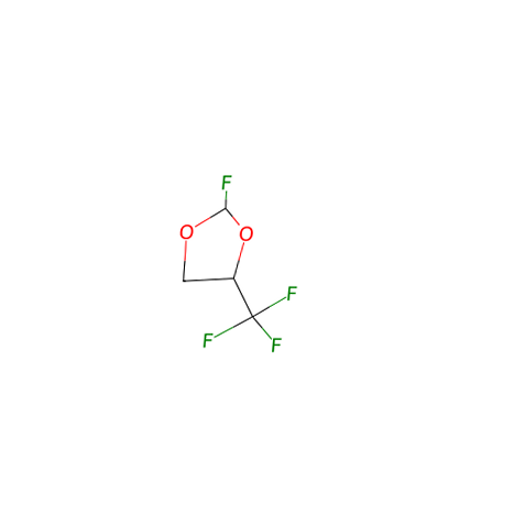 FC1OCC(C(F)(F)F)O1